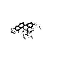 COc1ccc2c(c1OC)C(OC(C)C)N(C)c1c-2ccc2cc3c(cc12)OCO3